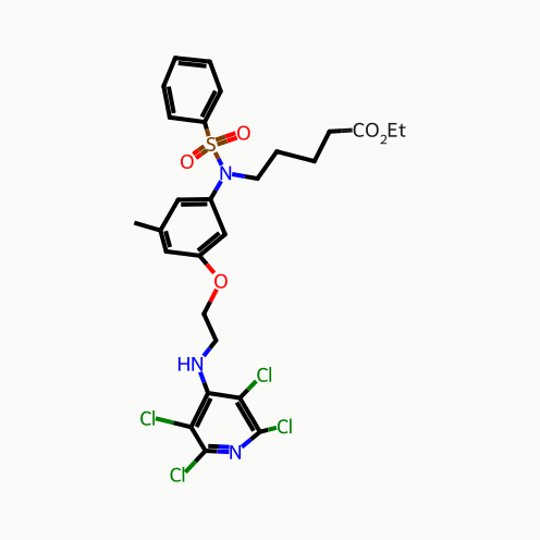 CCOC(=O)CCCCN(c1cc(C)cc(OCCNc2c(Cl)c(Cl)nc(Cl)c2Cl)c1)S(=O)(=O)c1ccccc1